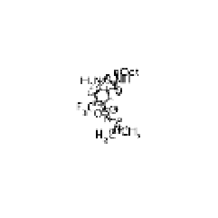 CCCCCCCCNS(=O)(=O)c1cc(S(=O)(=O)N=CN(C)C)c(C(F)(F)F)cc1N